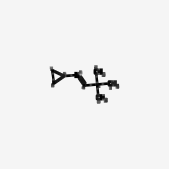 CC(C)(C)/C=N/C1CC1